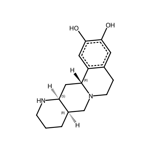 Oc1cc2c(cc1O)[C@H]1C[C@@H]3NCCC[C@@H]3CN1CC2